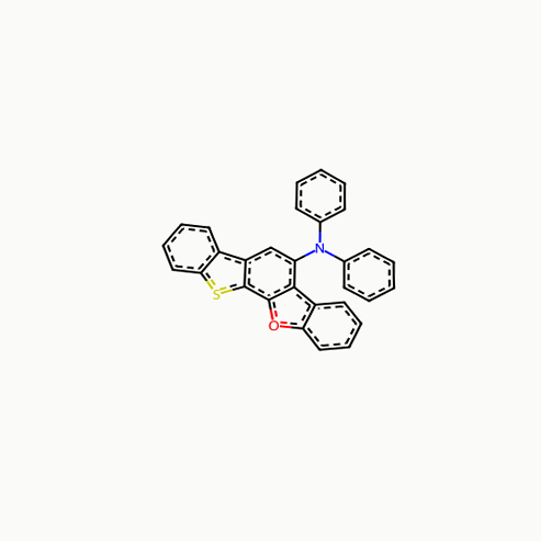 c1ccc(N(c2ccccc2)c2cc3c4ccccc4sc3c3oc4ccccc4c23)cc1